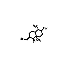 CCC(C)C=C1CCC2[C@H](C)C(O)CC[C@]2(C)C1=O